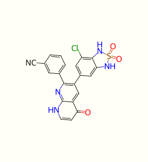 N#Cc1cccc(-c2nc3[nH]ccc(=O)c3cc2-c2cc(Cl)c3c(c2)NS(=O)(=O)N3)c1